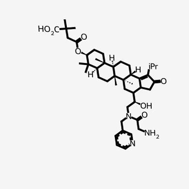 CC(C)C1=C2C(CC1=O)C([C@@H](O)CN(Cc1cccnc1)C(=O)CN)C[C@]1(C)[C@@H]2CC[C@@H]2[C@@]3(C)CC[C@H](OC(=O)CC(C)(C)C(=O)O)C(C)(C)[C@@H]3CC[C@]21C